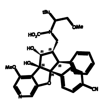 COCC(N(C[C@H]1[C@@H](O)[C@@]2(O)c3c(OC)cncc3O[C@@]2(c2ccc(C#N)cc2)[C@@H]1c1ccccc1)C(=O)O)C(C)(C)C